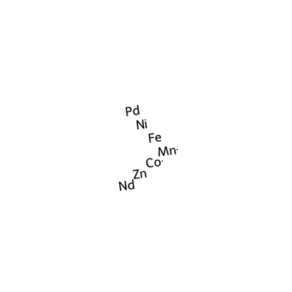 [Co].[Fe].[Mn].[Nd].[Ni].[Pd].[Zn]